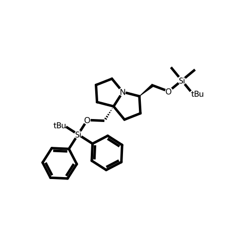 CC(C)(C)[Si](C)(C)OC[C@H]1CC[C@@]2(CO[Si](c3ccccc3)(c3ccccc3)C(C)(C)C)CCCN12